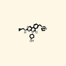 O=c1c2cc(CN3CCN4CCC3CC4)ccc2c2cnc(NCC3CC3)nc2n1[C@H]1CC[C@H](O)CC1